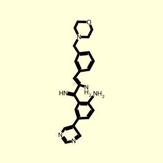 N=C(/C(N)=C/c1cccc(CN2CCOCC2)c1)c1cc(-c2cncnc2)ccc1N